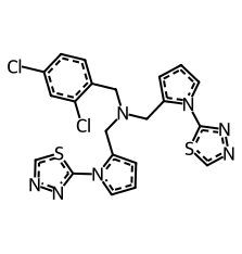 Clc1ccc(CN(Cc2cccn2-c2nncs2)Cc2cccn2-c2nncs2)c(Cl)c1